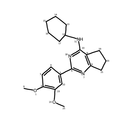 COc1ccc(-c2nc3c(c(NC4CCCCC4)n2)CCC3)cc1OC